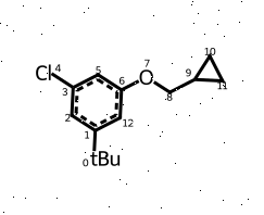 CC(C)(C)c1cc(Cl)cc(OCC2CC2)c1